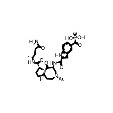 CC(=O)N1CC[C@H]2CC[C@@H](C(=O)N[C@H](C)CCC(N)=O)N2C(=O)[C@@H](NC(=O)c2cc3cc(C(=O)P(=O)(O)O)ccc3[nH]2)C1